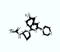 CC(C)(C)OC(=O)N[C@@H]1CCN(c2nc(N3CCOCC3)cc3cc(N)ccc23)C1